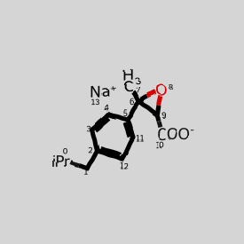 CC(C)Cc1ccc(C2(C)OC2C(=O)[O-])cc1.[Na+]